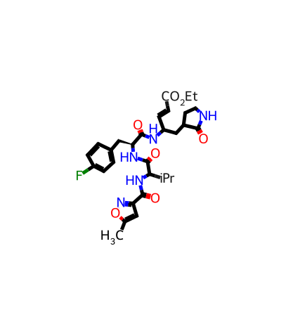 CCOC(=O)/C=C/C(CC1CCNC1=O)NC(=O)[C@H](Cc1ccc(F)cc1)NC(=O)C(NC(=O)c1cc(C)on1)C(C)C